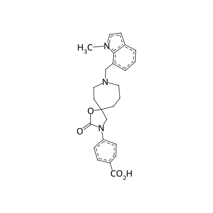 Cn1ccc2cccc(CN3CCCC4(CC3)CN(c3ccc(C(=O)O)cc3)C(=O)O4)c21